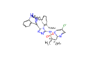 COc1cccc(OC)c1-n1c(NS(=O)(=O)[C@H](C)[C@@H](C)c2ncc(Cl)cn2)nnc1-c1n[nH]c2ccccc12